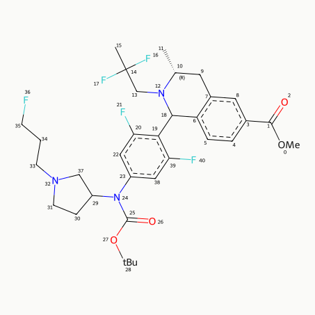 COC(=O)c1ccc2c(c1)C[C@@H](C)N(CC(C)(F)F)C2c1c(F)cc(N(C(=O)OC(C)(C)C)C2CCN(CCCF)C2)cc1F